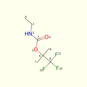 CCNC(=O)OC(C)(C)C(F)(F)F